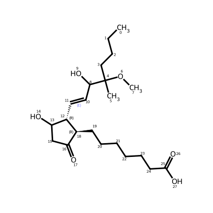 CCCCC(C)(OC)C(O)/C=C/[C@H]1C(O)CC(=O)[C@@H]1CCCCCCC(=O)O